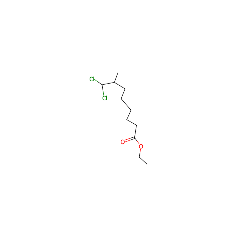 CCOC(=O)CCCCCC(C)C(Cl)Cl